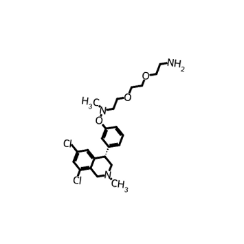 CN1Cc2c(Cl)cc(Cl)cc2[C@H](c2cccc(ON(C)CCOCCOCCN)c2)C1